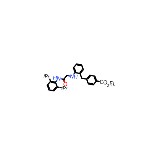 CCOC(=O)c1ccc(Cc2ccccc2NCC(=O)Nc2c(C(C)C)cccc2C(C)C)cc1